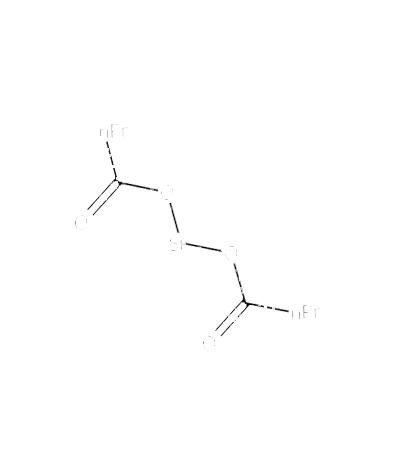 CCCC(=O)O[Si]OC(=O)CCC